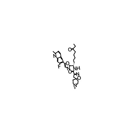 CCC(=O)CCCCC[C@H](NC(=O)C1=NOC2(CCN(C)CC2)C1)c1ncc(-c2cc3ccc(C)nc3cc2F)o1